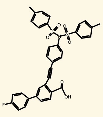 Cc1ccc(S(=O)(=O)N(c2ccc(C#Cc3cc(-c4ccc(F)cc4)ccc3C(=O)O)cc2)S(=O)(=O)c2ccc(C)cc2)cc1